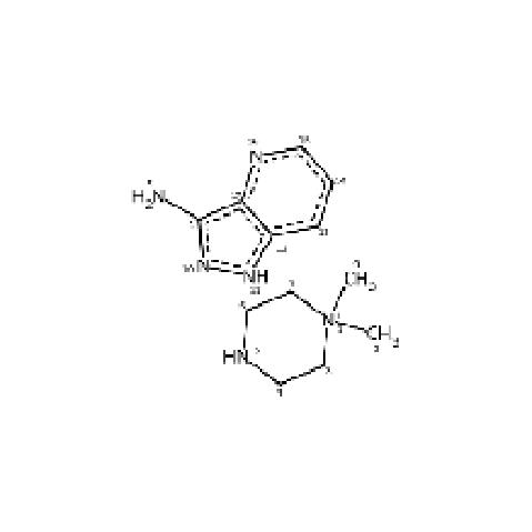 C[N+]1(C)CCNCC1.Nc1n[nH]c2cccnc12